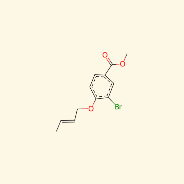 CC=CCOc1ccc(C(=O)OC)cc1Br